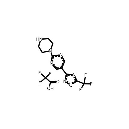 FC(F)(F)c1nc(-c2cnc(N3CCNCC3)nc2)no1.O=C(O)C(F)(F)F